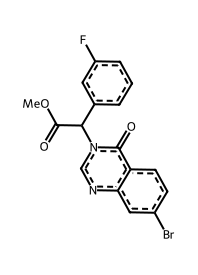 COC(=O)C(c1cccc(F)c1)n1cnc2cc(Br)ccc2c1=O